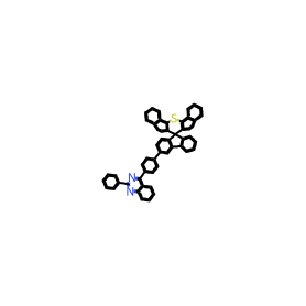 c1ccc(-c2nc(-c3ccc(-c4ccc5c(c4)-c4ccccc4C54c5ccc6ccccc6c5Sc5c4ccc4ccccc54)cc3)c3ccccc3n2)cc1